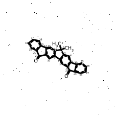 CC1(C)c2cc3c(cc2-c2cc4c(cc21)-c1ccccc1C4=O)C(=O)c1ccccc1-3